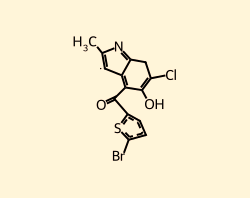 CC1=[C]C2=C(C(=O)c3ccc(Br)s3)C(O)=C(Cl)CC2=N1